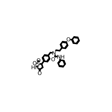 O=C1CC(c2ccc(CN(CCc3ccc(Oc4ccccc4)cc3)C(=O)Nc3ccccc3)cc2)S(=O)(=O)N1